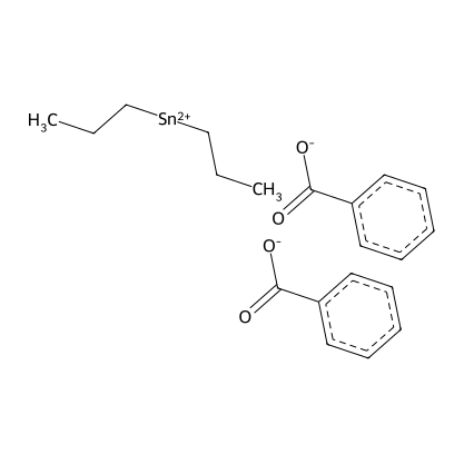 CC[CH2][Sn+2][CH2]CC.O=C([O-])c1ccccc1.O=C([O-])c1ccccc1